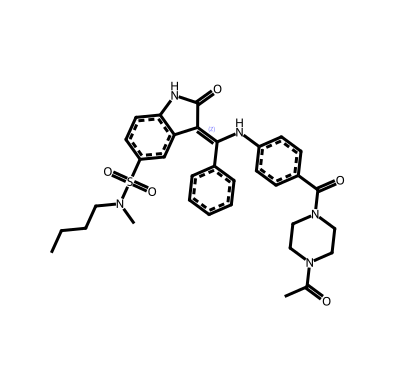 CCCCN(C)S(=O)(=O)c1ccc2c(c1)/C(=C(/Nc1ccc(C(=O)N3CCN(C(C)=O)CC3)cc1)c1ccccc1)C(=O)N2